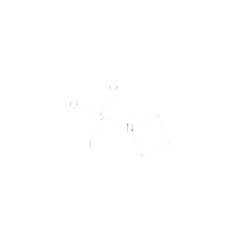 O=S(=O)(I)N1CCC1